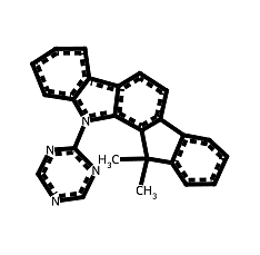 CC1(C)c2ccccc2-c2ccc3c4ccccc4n(-c4ncncn4)c3c21